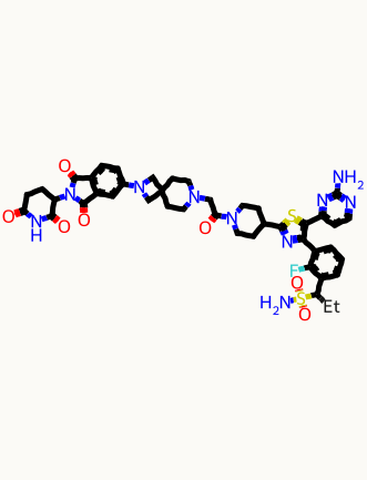 CCC(c1cccc(-c2nc(C3CCN(C(=O)CN4CCC5(CC4)CN(c4ccc6c(c4)C(=O)N(C4CCC(=O)NC4=O)C6=O)C5)CC3)sc2-c2ccnc(N)n2)c1F)S(N)(=O)=O